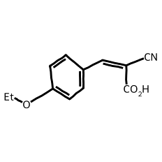 CCOc1ccc(/C=C(/C#N)C(=O)O)cc1